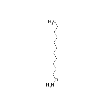 CCCCCCCCCC[CH2][Ti][NH2]